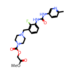 COC(=O)COC(=O)N1CCN(Cc2cccc(NC(=O)Nc3ccc(C)nc3)c2F)CC1